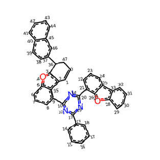 C1=Cc2c(oc3cccc(-c4nc(-c5ccccc5)nc(-c5cccc6c5oc5ccccc56)n4)c23)C(c2ccc3ccccc3c2)C1